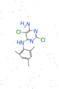 Cc1cc(C)c(Nc2nc(Cl)nc(N)c2Cl)c(C)c1